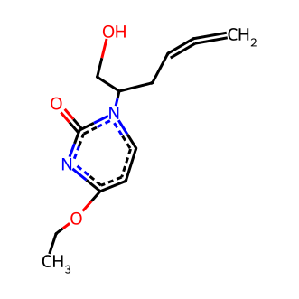 C=C=CCC(CO)n1ccc(OCC)nc1=O